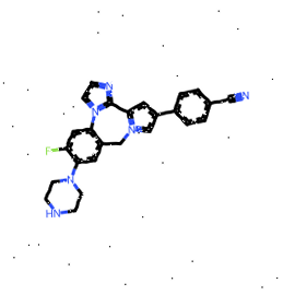 N#Cc1ccc(-c2cc3n(c2)Cc2cc(N4CCNCC4)c(F)cc2-n2ccnc2-3)cc1